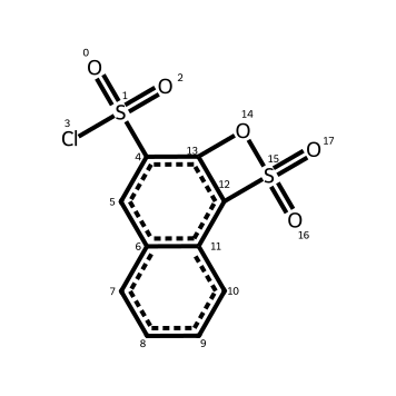 O=S(=O)(Cl)c1cc2ccccc2c2c1OS2(=O)=O